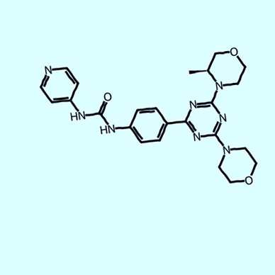 C[C@H]1COCCN1c1nc(-c2ccc(NC(=O)Nc3ccncc3)cc2)nc(N2CCOCC2)n1